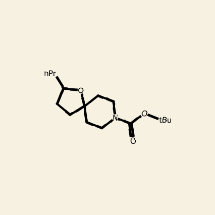 CCCC1CCC2(CCN(C(=O)OC(C)(C)C)CC2)O1